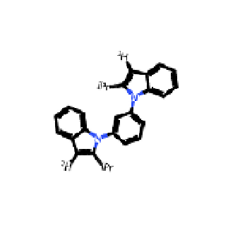 [2H]c1c(C(C)C)n(-c2cccc(-n3c(C(C)C)c([2H])c4ccccc43)c2)c2ccccc12